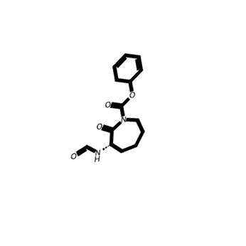 O=[C]N[C@H]1CCCCN(C(=O)OC2C=CC=CC2)C1=O